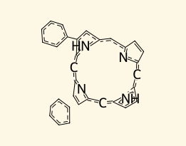 C1=Cc2cc3cc(-c4ccccc4)c(cc4nc(cc5ccc(cc1n2)[nH]5)C=C4)[nH]3.c1ccccc1